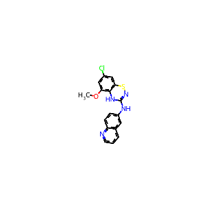 COc1cc(Cl)cc2c1NC(Nc1ccc3ncccc3c1)=NS2